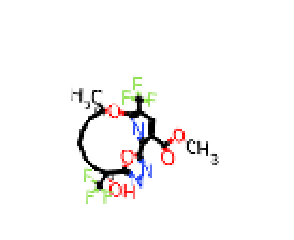 COC(=O)c1cc(C(F)(F)F)c2nc1-c1nnc(o1)[C@@](O)(C(F)(F)F)CCCCC[C@@H](C)O2